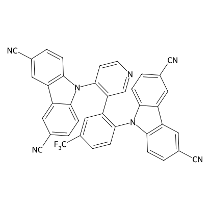 N#Cc1ccc2c(c1)c1cc(C#N)ccc1n2-c1ccncc1-c1cc(C(F)(F)F)ccc1-n1c2ccc(C#N)cc2c2cc(C#N)ccc21